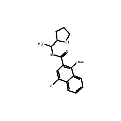 COc1c(C(=O)NC(C)C2CCCN2)cc(Br)c2ccccc12